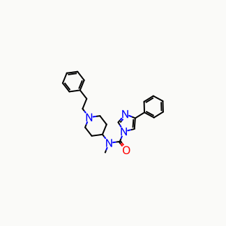 CN(C(=O)n1cnc(-c2ccccc2)c1)C1CCN(CCc2ccccc2)CC1